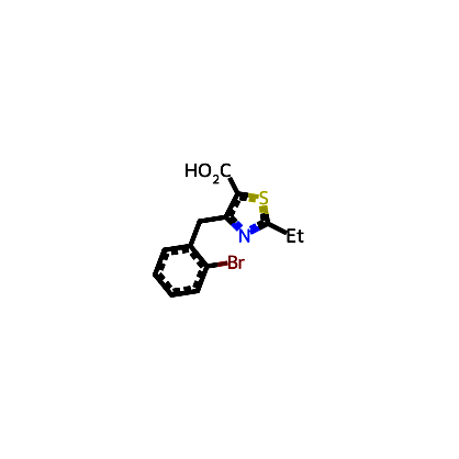 CCc1nc(Cc2ccccc2Br)c(C(=O)O)s1